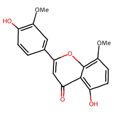 COc1cc(-c2cc(=O)c3c(O)ccc(OC)c3o2)ccc1O